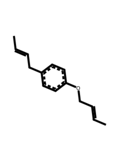 CC=CCOc1ccc(CC=CC)cc1